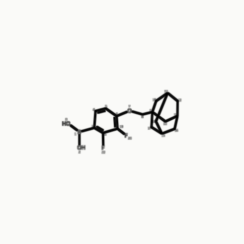 OB(O)c1ccc(OCC23CC4CC(CC(C4)C2)C3)c(F)c1F